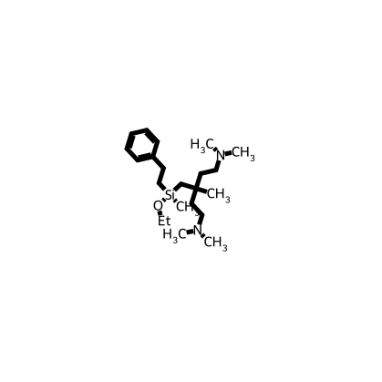 CCO[Si](C)(CCc1ccccc1)CC(C)(CCN(C)C)CCN(C)C